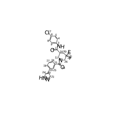 O=C(Nc1ccc(Cl)cc1)C1CN(C(=O)c2cccc(-c3cn[nH]c3)c2)CC(F)(F)C1